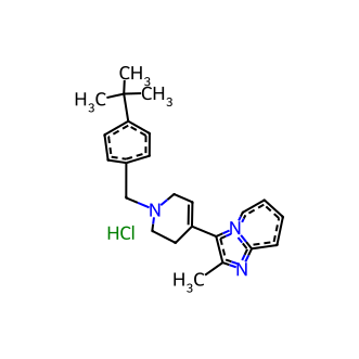 Cc1nc2ccccn2c1C1=CCN(Cc2ccc(C(C)(C)C)cc2)CC1.Cl